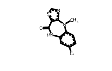 CN1c2ccc(Cl)cc2NC(=O)c2scnc21